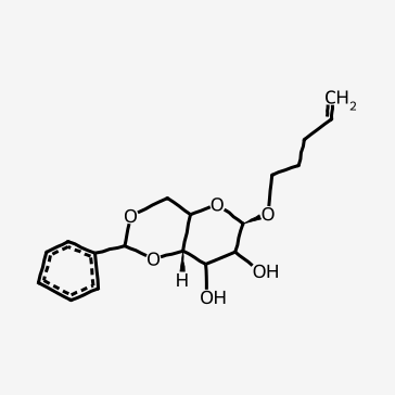 C=CCCCO[C@@H]1OC2COC(c3ccccc3)O[C@H]2C(O)C1O